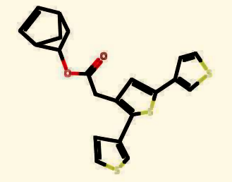 O=C(Cc1cc(-c2ccsc2)sc1-c1ccsc1)OC1CC2C=CC1C2